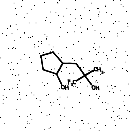 CC(O)(CC1CCCC1O)C(F)(F)F